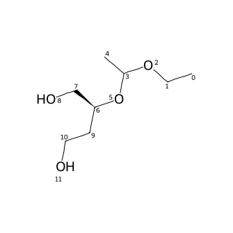 CCOC(C)O[C@H](CO)CCO